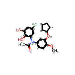 COc1ccc(N(C(C)=O)c2cc(Cl)cc(Br)c2O)cc1OC1CCCC1